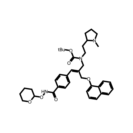 CN1CCCC1CCN(C/C(=C/c1ccc(C(=O)NOC2CCCCO2)cc1)COc1cccc2ccccc12)C(=O)OC(C)(C)C